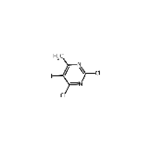 Cc1nc(Cl)nc(Cl)c1I